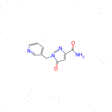 NC(=O)c1cc(=O)n(Cc2cccnc2)cn1